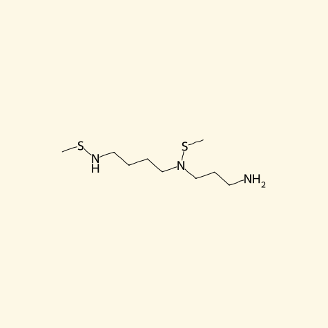 CSNCCCCN(CCCN)SC